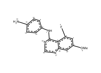 COc1cc(F)c2c(Nc3ccc(N)cc3)ncnc2c1